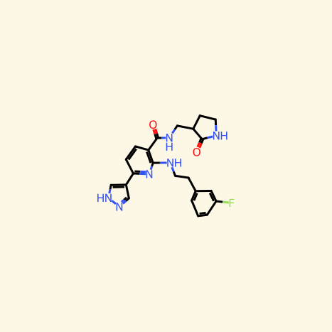 O=C(NCC1CCNC1=O)c1ccc(-c2cn[nH]c2)nc1NCCc1cccc(F)c1